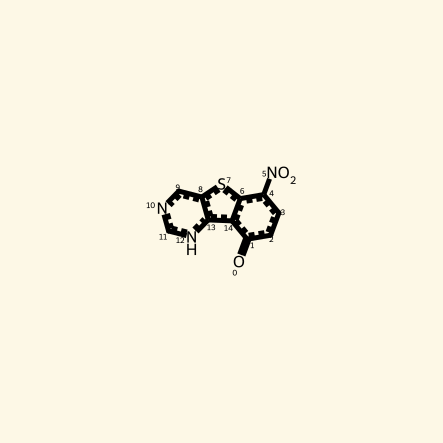 O=c1ccc([N+](=O)[O-])c2sc3cnc[nH]c3c12